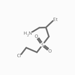 CCC(CN)CS(=O)(=O)CCCl